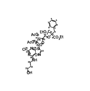 CCOC(=O)C(Cc1ccccc1)(OC[C@H]1O[C@@H](n2cnc3c(NCCCO)nc(Cl)nc32)[C@H](OC(C)=O)[C@@H]1OC(C)=O)C(=O)OCC